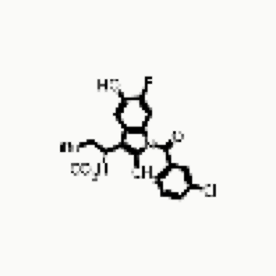 CCC(C)C[C@H](C(=O)O)c1c(C)n(C(=O)c2cccc(Cl)c2)c2cc(F)c(O)cc12